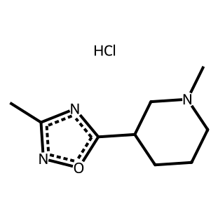 Cc1noc(C2CCCN(C)C2)n1.Cl